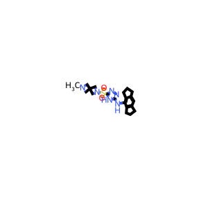 CN1CC2(C1)CN(S(=O)(=O)c1nnc(Nc3c4c(cc5c3CCC5)CCC4)[nH]1)C2